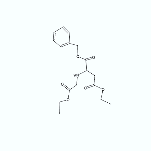 CCOC(=O)CNC(CC(=O)OCC)C(=O)OCc1ccccc1